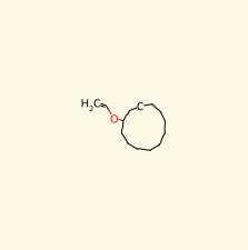 C=COC1CCCCCCCCCCC1